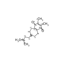 CC1=C(C)C(=O)C2=C(CCN(CCN(C)C)CC2)C1=O